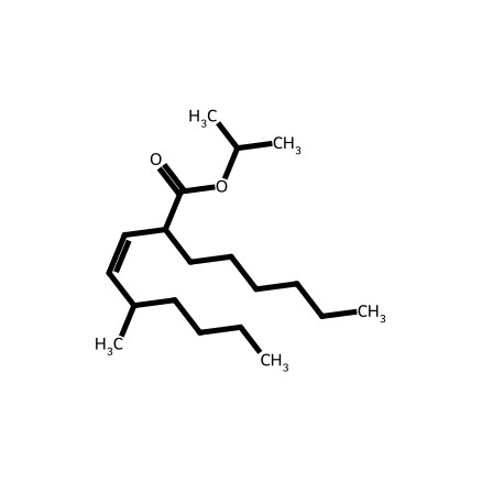 CCCCCCC(/C=C\C(C)CCCC)C(=O)OC(C)C